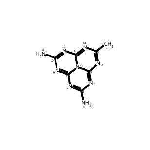 CC1=NC2=NC(N)=NC3=NC(N)=NC(=N1)N23